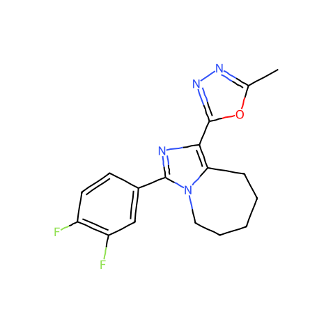 Cc1nnc(-c2nc(-c3ccc(F)c(F)c3)n3c2CCCCC3)o1